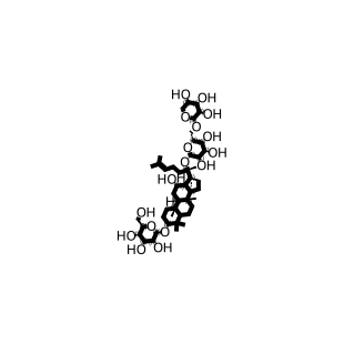 CC(C)=CCC[C@](C)(O[C@@H]1O[C@H](CO[C@@H]2OC[C@@H](O)[C@H](O)[C@H]2O)[C@@H](O)[C@H](O)[C@H]1O)[C@H]1CC[C@]2(C)[C@@H]1[C@H](O)C[C@@H]1[C@@]3(C)CC[C@H](O[C@@H]4O[C@H](CO)[C@@H](O)[C@H](O)[C@H]4O)C(C)(C)C3CC[C@]12C